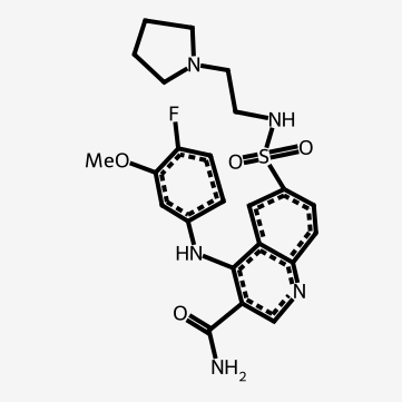 COc1cc(Nc2c(C(N)=O)cnc3ccc(S(=O)(=O)NCCN4CCCC4)cc23)ccc1F